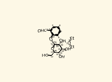 CCOCC.O=Cc1ccccc1O[C@@H]1O[C@H](CO)[C@@H](O)[C@H](O)[C@H]1O